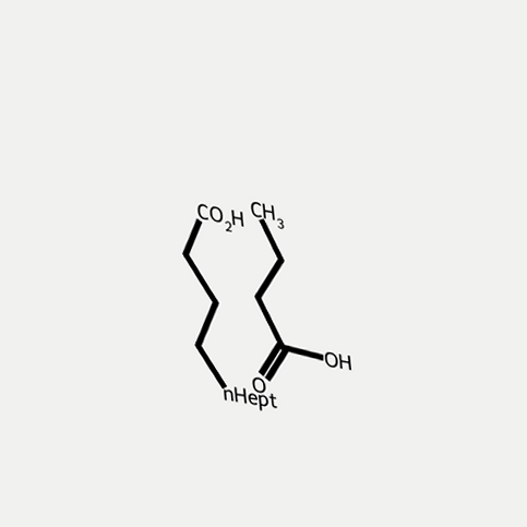 CCCC(=O)O.CCCCCCCCCCC(=O)O